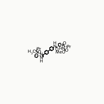 COC(=O)N[C@H](C(=O)N1CC[C@@H](C(=O)Nc2ccc(-c3ccc(-c4c[nH]c([C@@H]5CCCN5C(=O)[C@@H](C)C(C)C)n4)cc3)cc2)C1)C(C)C